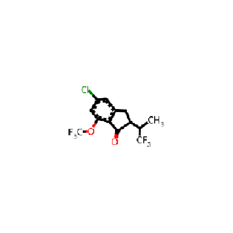 C[C@H](C1Cc2cc(Cl)cc(OC(F)(F)F)c2C1=O)C(F)(F)F